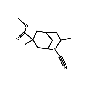 COC(=O)C1(C)CC2CC(C)B(C#N)C(C2)C1